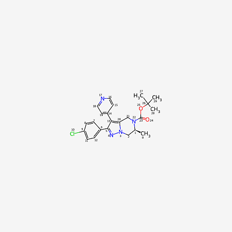 C[C@H]1Cn2nc(-c3ccc(Cl)cc3)c(-c3ccncc3)c2CN1C(=O)OC(C)(C)C